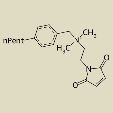 CCCCCc1ccc(C[N+](C)(C)CCN2C(=O)C=CC2=O)cc1